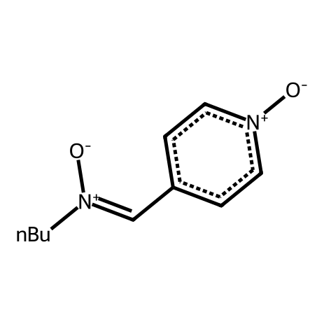 CCCC[N+]([O-])=Cc1cc[n+]([O-])cc1